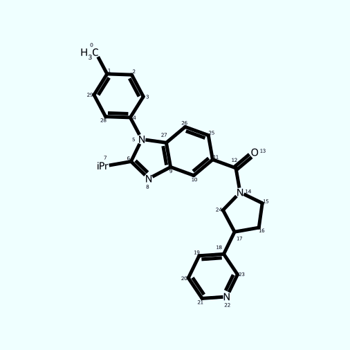 Cc1ccc(-n2c(C(C)C)nc3cc(C(=O)N4CCC(c5cccnc5)C4)ccc32)cc1